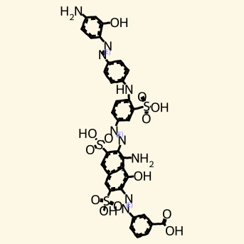 Nc1ccc(/N=N/c2ccc(Nc3ccc(/N=N/c4c(S(=O)(=O)O)cc5cc(S(=O)(=O)O)c(/N=N/c6cccc(C(=O)O)c6)c(O)c5c4N)cc3S(=O)(=O)O)cc2)c(O)c1